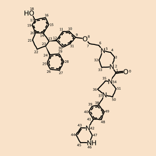 O=C(N1CCN(CCOc2ccc([C@@H]3c4ccc(O)cc4CC[C@@H]3c3ccccc3)cc2)CC1)N1CCN(c2ccc(N3C=CCNC3)cc2)CC1